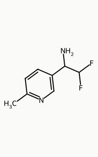 Cc1ccc(C(N)C(F)F)cn1